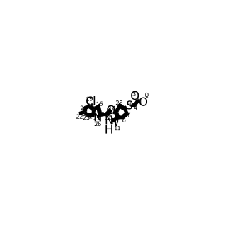 COC(=O)CSc1ccc([C@@H](C)NC(=O)c2cc3c(Cl)cc(C)cc3n2C)cc1